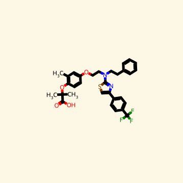 Cc1cc(OCCN(CCc2ccccc2)c2nc(-c3ccc(C(F)(F)F)cc3)cs2)ccc1OC(C)(C)C(=O)O